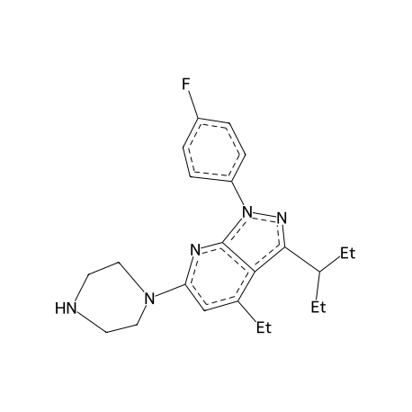 CCc1cc(N2CCNCC2)nc2c1c(C(CC)CC)nn2-c1ccc(F)cc1